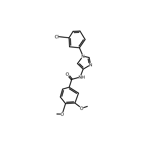 COc1ccc(C(=O)Nc2cn(-c3cccc(Cl)c3)cn2)cc1OC